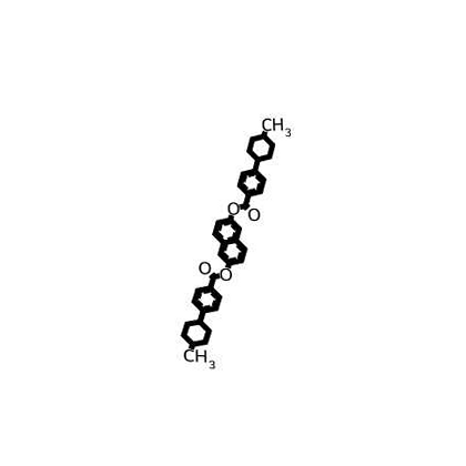 CC1CCC(c2ccc(C(=O)Oc3ccc4cc(OC(=O)c5ccc(C6CCC(C)CC6)cc5)ccc4c3)cc2)CC1